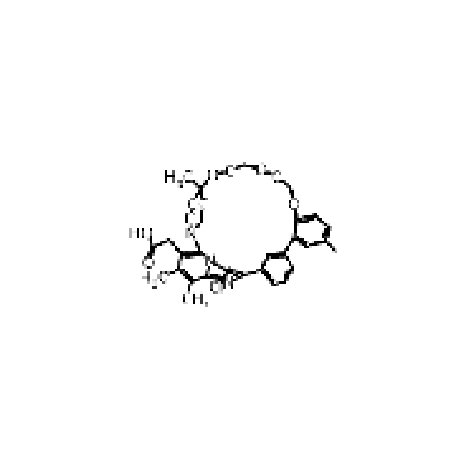 Cc1c(CC(=O)O)c2n3c(Cl)c(nc3c1C)-c1cccc(c1)-c1cc(F)ccc1OCCOCCOC1(C)CCN2CC1